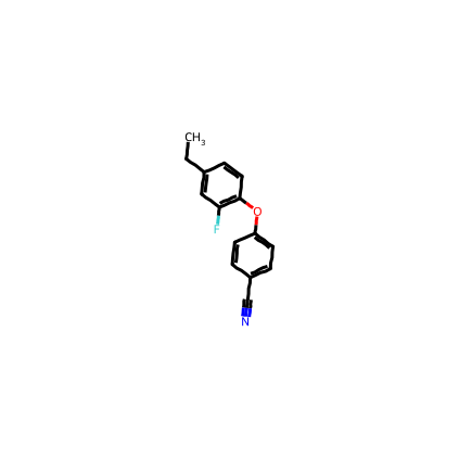 CCc1ccc(Oc2ccc(C#N)cc2)c(F)c1